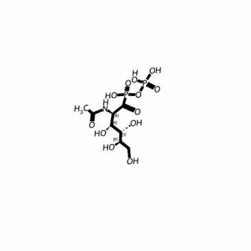 CC(=O)N[C@@H](C(=O)P(=O)(O)OP(=O)(O)O)[C@@H](O)[C@H](O)[C@H](O)CO